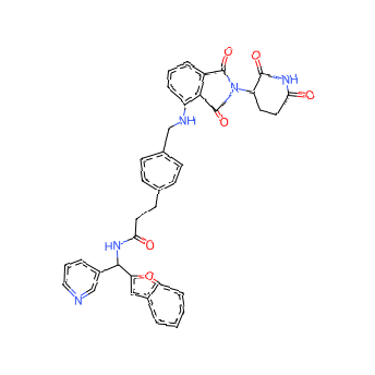 O=C1CCC(N2C(=O)c3cccc(NCc4ccc(CCC(=O)NC(c5cccnc5)c5cc6ccccc6o5)cc4)c3C2=O)C(=O)N1